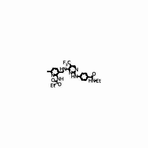 CCNC(=O)c1ccc(Nc2ncc(C(F)(F)F)c(NCc3ccc(C)nc3NS(=O)(=O)CC)n2)cc1